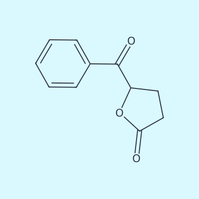 O=C1CCC(C(=O)c2ccccc2)O1